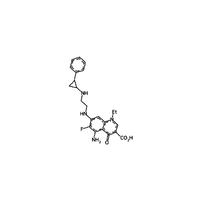 CCn1cc(C(=O)O)c(=O)c2c(N)c(F)c(NCCNC3CC3c3ccccc3)cc21